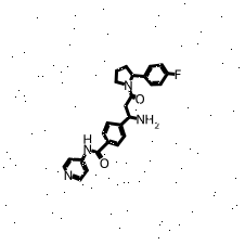 NC(CC(=O)N1CCCC1c1ccc(F)cc1)c1ccc(C(=O)Nc2ccncc2)cc1